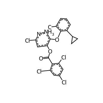 Cc1cccc(C2CC2)c1Oc1nnc(Cl)cc1OC(=O)c1c(Cl)cc(Cl)cc1Cl